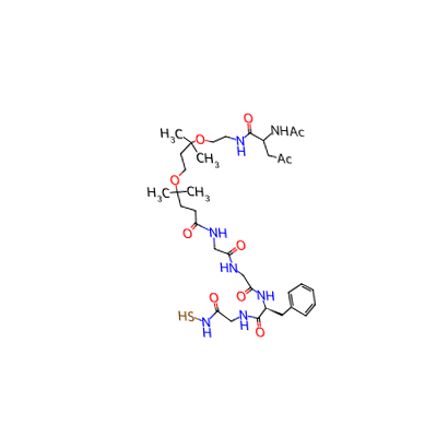 CC(=O)CC(NC(C)=O)C(=O)NCCOC(C)(C)CCOC(C)(C)CCC(=O)NCC(=O)NCC(=O)N[C@@H](Cc1ccccc1)C(=O)NCC(=O)NS